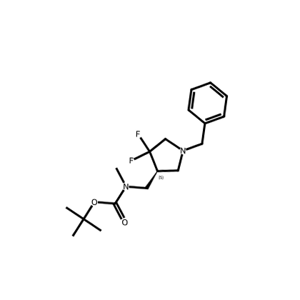 CN(C[C@@H]1CN(Cc2ccccc2)CC1(F)F)C(=O)OC(C)(C)C